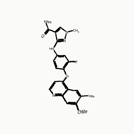 CNC(=O)c1cn(C)nc1Nc1ccc(Oc2ccnc3cc(OC)c(OC)cc23)c(F)c1